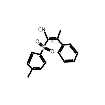 [C-]#[N+]/C(=C(\C)c1ccccc1)S(=O)(=O)c1ccc(C)cc1